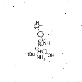 Cc1ncsc1-c1ccc(C2(C)NC([C@@H]3C[C@@H](O)CN3C(=O)C(N)C(C)(C)C)=NO2)cc1